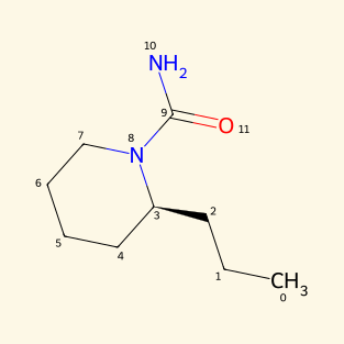 CCC[C@H]1CCCCN1C(N)=O